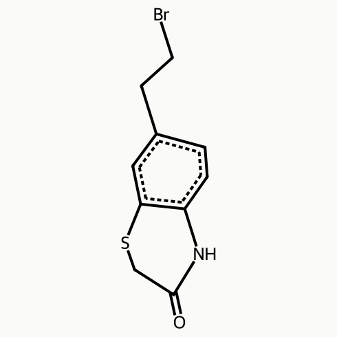 O=C1CSc2cc(CCBr)ccc2N1